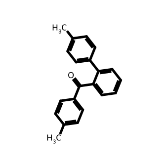 Cc1ccc(C(=O)c2ccccc2-c2ccc(C)cc2)cc1